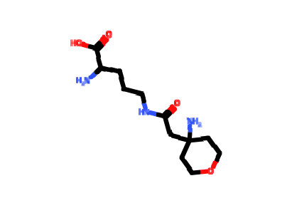 NC(CCCNC(=O)CC1(N)CCOCC1)C(=O)O